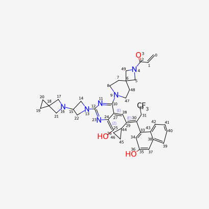 C=CC(=O)N1CC2(CCN(c3nc(N4CC(N5CC6(CC6)C5)C4)nc(=C\O)/c3=C\C(=C(/CC(F)(F)F)c3cc(O)cc4ccccc34)C3CC3)CC2)C1